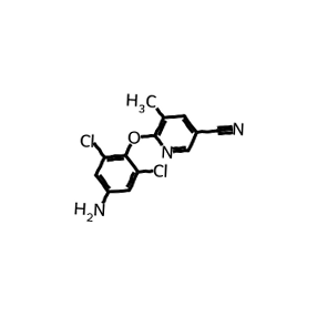 Cc1cc(C#N)cnc1Oc1c(Cl)cc(N)cc1Cl